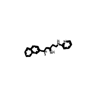 C[C@H](CC(=N)CCNc1ccccn1)c1ccc2ccccc2c1